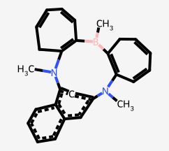 CB1C2=C(CC=CC=C2)N(C)c2cc(cc3ccccc23)N(C)C2=C1CC=CC=C2